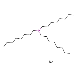 CCCCCCCCP(CCCCCCCC)CCCCCCCC.[Nd]